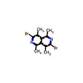 Cc1nc(Br)c(C)c2c(C)nc(Br)c(C)c12